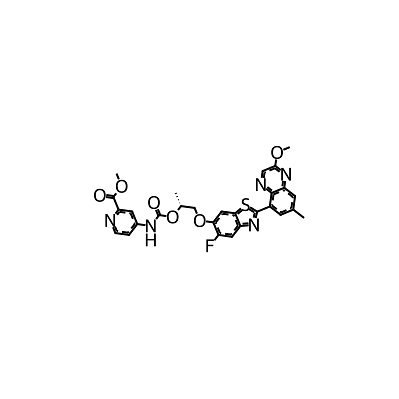 COC(=O)c1cc(NC(=O)O[C@H](C)COc2cc3sc(-c4cc(C)cc5nc(OC)cnc45)nc3cc2F)ccn1